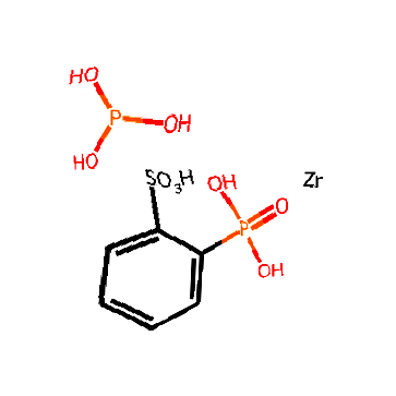 O=P(O)(O)c1ccccc1S(=O)(=O)O.OP(O)O.[Zr]